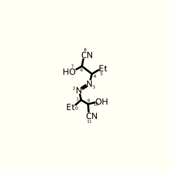 CCC(/N=N/C(CC)C(O)C#N)C(O)C#N